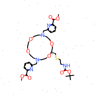 COC(=O)c1cccc(CN2CCOCCOCCN(Cc3cccc(C(=O)OC)n3)CCO[C@H](CSCCNC(=O)OC(C)(C)C)COCC2)n1